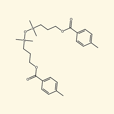 Cc1ccc(C(=O)OCCC[Si](C)(C)O[Si](C)(C)CCCOC(=O)c2ccc(C)cc2)cc1